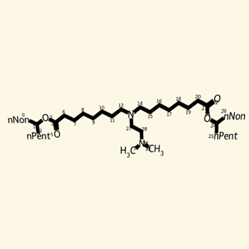 CCCCCCCCCC(CCCCC)OC(=O)CCCCCCCN(CCCCCCCC(=O)OC(CCCCC)CCCCCCCCC)CCN(C)C